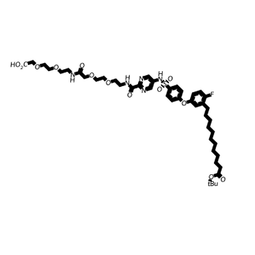 CC(C)(C)OC(=O)CCCCCCCCCCCc1cc(Oc2ccc(S(=O)(=O)Nc3cnc(C(=O)NCCOCCOCC(=O)NCCOCCOCC(=O)O)nc3)cc2)ccc1F